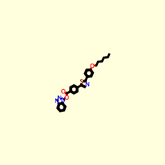 CCCCCCOc1ccc(-c2ncc(-c3ccc(C(=O)On4nnc5ccccc54)cc3)s2)cc1